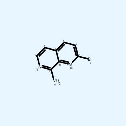 Nc1nccc2ccc(Br)nc12